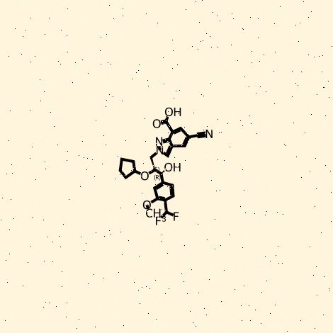 COc1cc([C@@H](O)[C@H](Cn2cc3cc(C#N)cc(C(=O)O)c3n2)OC2CCCC2)ccc1C(F)F